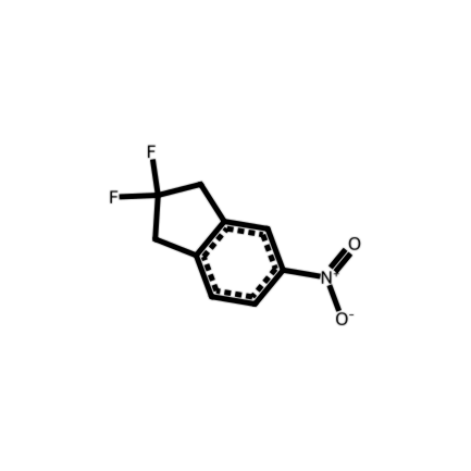 O=[N+]([O-])c1ccc2c(c1)CC(F)(F)C2